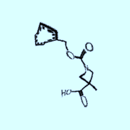 CC1(C(=O)O)CN(C(=O)OCc2ccccc2)C1